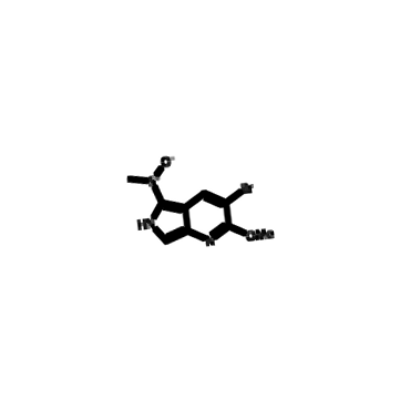 COc1nc2c[nH]c([S+](C)[O-])c2cc1Br